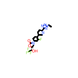 C=Cn1nnc(-c2ccc(-c3ccc(N4C[C@H](C(O)C(F)(F)F)OC4=O)cc3F)cn2)n1